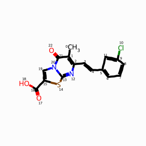 Cc1c(/C=C/c2cccc(Cl)c2)nc2sc(C(=O)O)cn2c1=O